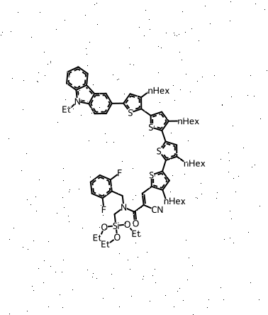 CCCCCCc1cc(-c2sc(-c3sc(-c4sc(-c5ccc6c(c5)c5ccccc5n6CC)cc4CCCCCC)cc3CCCCCC)cc2CCCCCC)sc1/C=C(\C#N)C(=O)N(Cc1c(F)cccc1F)C[Si](OCC)(OCC)OCC